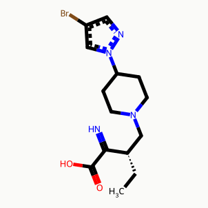 CC[C@@H](CN1CCC(n2cc(Br)cn2)CC1)C(=N)C(=O)O